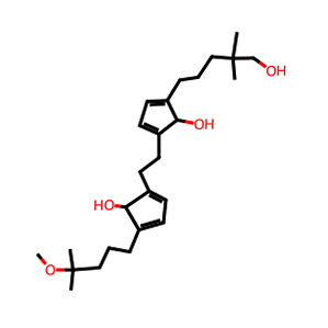 COC(C)(C)CCCC1=CC=C(CCC2=CC=C(CCCC(C)(C)CO)C2O)C1O